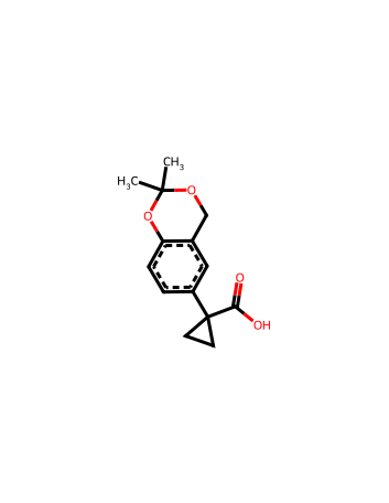 CC1(C)OCc2cc(C3(C(=O)O)CC3)ccc2O1